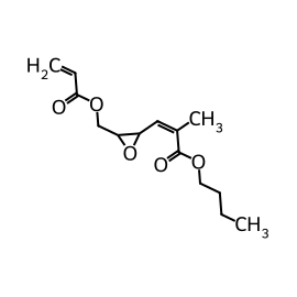 C=CC(=O)OCC1OC1C=C(C)C(=O)OCCCC